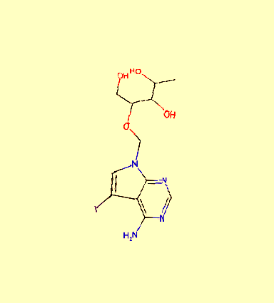 CC(O)C(O)C(CO)OCn1cc(I)c2c(N)ncnc21